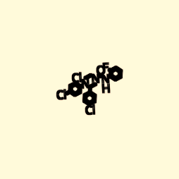 O=C(Nc1ccccc1F)N1CCN(c2ccc(Cl)cc2Cl)C(c2ccc(Cl)cc2)C1